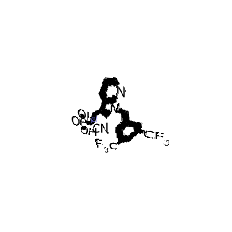 N#C/C(=C\c1cn(Cc2cc(C(F)(F)F)cc(C(F)(F)F)c2)c2ncccc12)P(=O)(O)O